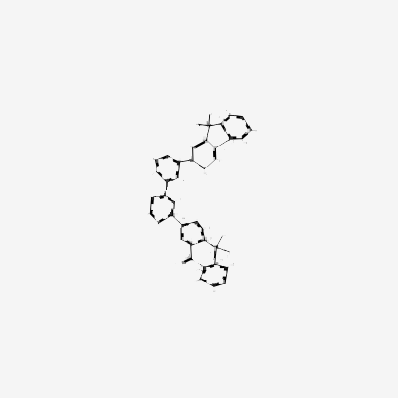 CC1(C)C2=CC(c3cccc(-c4cccc(-c5ccc6c(c5)C(=O)c5ccccc5C6(C)C)c4)c3)CC=C2c2ccccc21